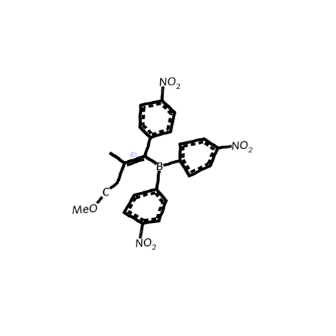 COCC/C(C)=C(\B(c1ccc([N+](=O)[O-])cc1)c1ccc([N+](=O)[O-])cc1)c1ccc([N+](=O)[O-])cc1